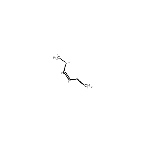 CC/C=[C]\SC